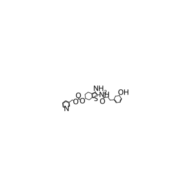 Nc1c(NC(=O)CCC2=CC=CC(O)C2)sc2c1CCC(OC(=O)OCc1cccnc1)C2